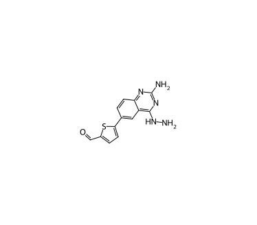 NNc1nc(N)nc2ccc(-c3ccc(C=O)s3)cc12